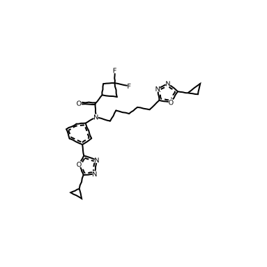 O=C(C1CC(F)(F)C1)N(CCCCCc1nnc(C2CC2)o1)c1cccc(-c2nnc(C3CC3)o2)c1